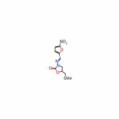 CSCC1CN(N=Cc2ccc([N+](=O)[O-])o2)C(=O)O1